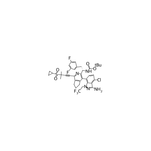 CC(C)(C)OC(=O)N[C@@H](Cc1cc(F)cc(F)c1)c1nc(C#CC(C)(C)S(=O)(=O)C2CC2)c2c(c1-c1ccc(Cl)c3c(N)nn(CC(F)(F)F)c13)CCC2